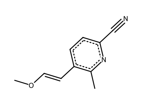 CO/C=C/c1ccc(C#N)nc1C